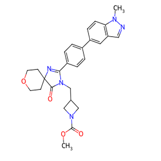 COC(=O)N1CC(CN2C(=O)C3(CCOCC3)N=C2c2ccc(-c3ccc4c(cnn4C)c3)cc2)C1